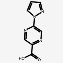 O=C(O)c1cnc(-n2cccn2)cn1